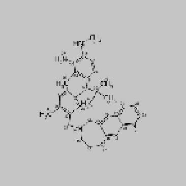 CNc1ccc(C(c2ccc(C)c(CN3CCOc4cc5ncccc5cc4C3)c2)C(C)(C)C)c(C)c1N